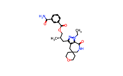 CCn1nc(C[C@@H](C)COC(=O)c2cccc(C(N)=O)c2)c2c1C(=O)NCC1(CCOCC1)C2